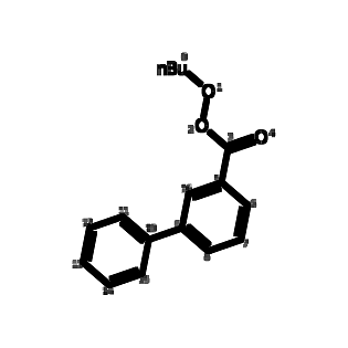 [CH2]CCCOOC(=O)c1cccc(-c2ccccc2)c1